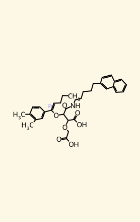 CCC/C=C(\OC(C(=O)NCCCCCc1ccc2ccccc2c1)C(OCC(=O)O)C(=O)O)c1ccc(C)c(C)c1